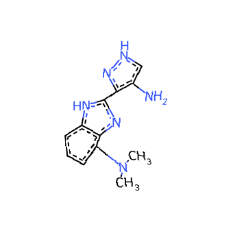 CN(C)c1cccc2[nH]c(-c3n[nH]cc3N)nc12